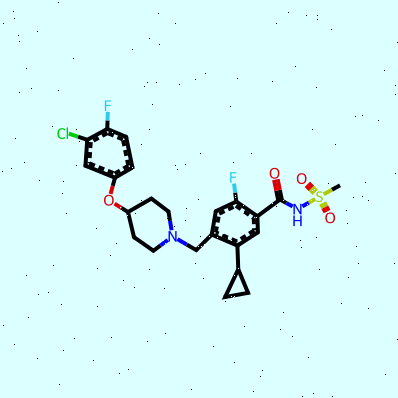 CS(=O)(=O)NC(=O)c1cc(C2CC2)c(CN2CCC(Oc3ccc(F)c(Cl)c3)CC2)cc1F